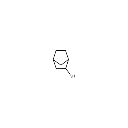 S[C]1CC2CCC1C2